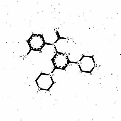 Cc1cccc(N(C(N)=O)c2cc(N3CCOCC3)cc(N3CCOCC3)n2)c1